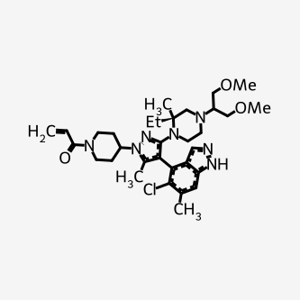 C=CC(=O)N1CCC(n2nc(N3CCN(C(COC)COC)C[C@]3(C)CC)c(-c3c(Cl)c(C)cc4[nH]ncc34)c2C)CC1